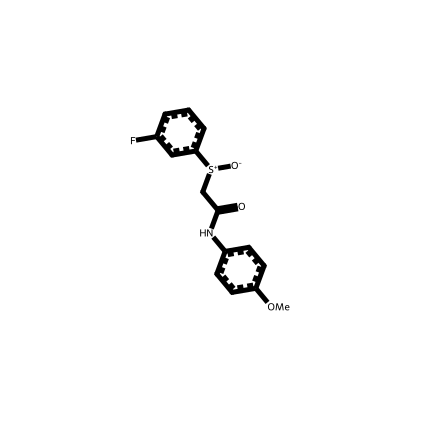 COc1ccc(NC(=O)C[S+]([O-])c2cccc(F)c2)cc1